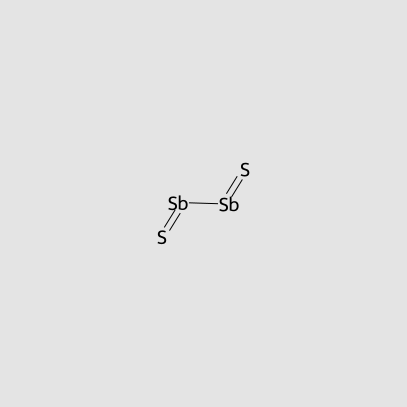 [S]=[Sb][Sb]=[S]